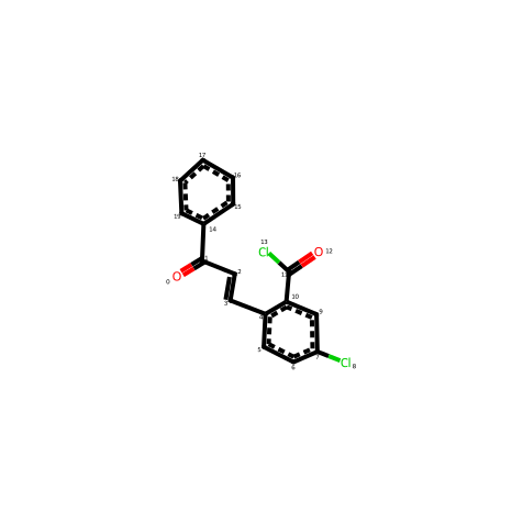 O=C(C=Cc1ccc(Cl)cc1C(=O)Cl)c1ccccc1